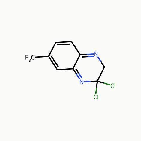 FC(F)(F)c1ccc2c(c1)=NC(Cl)(Cl)CN=2